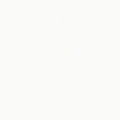 CN1CCN(c2ccc(-c3nc4c(c(NCCCN5CCCC5)n3)CN(Cc3ccccc3)CC4)cc2)CC1